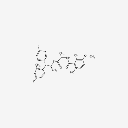 COc1cc[n+](O)c(C(=O)N[C@@H](C)C(=O)O[C@@H](C)[C@@H](c2ccc(F)cc2)c2ccc(F)cc2C)c1O